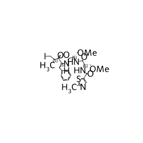 COC[C@H](NC(=O)c1cnc(C)s1)C(=O)N[C@@H](COC)C(=O)N[C@@H](Cc1ccccc1)C(=O)[C@H](C)CI